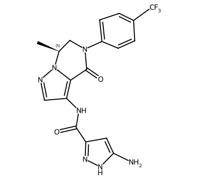 C[C@H]1CN(c2ccc(C(F)(F)F)cc2)C(=O)c2c(NC(=O)c3cc(N)[nH]n3)cnn21